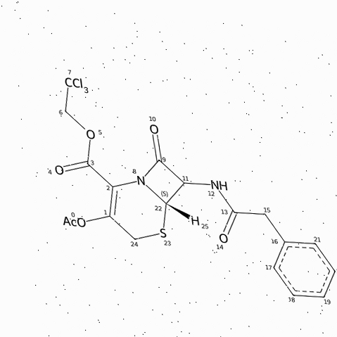 CC(=O)OC1=C(C(=O)OCC(Cl)(Cl)Cl)N2C(=O)C(NC(=O)Cc3ccccc3)[C@@H]2SC1